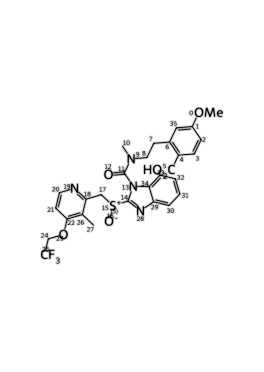 COc1ccc(C(=O)O)c(CCN(C)C(=O)n2c([S@+]([O-])Cc3nccc(OCC(F)(F)F)c3C)nc3ccccc32)c1